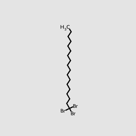 CCCCCCCCCCCCCCCCCC(Br)(Br)Br